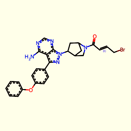 Nc1ncnc2c1c(-c1ccc(Oc3ccccc3)cc1)nn2C1CC2CC1CN2C(=O)/C=C/CBr